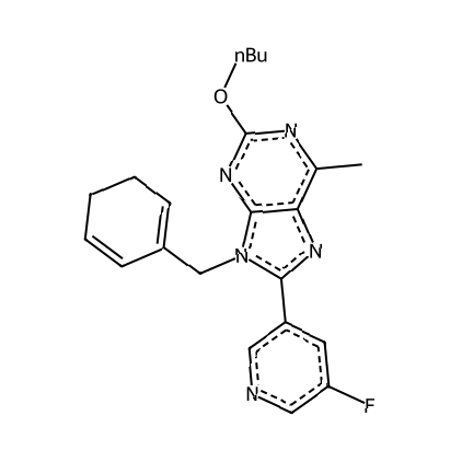 CCCCOc1nc(C)c2nc(-c3cncc(F)c3)n(CC3=CCCC=C3)c2n1